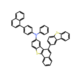 c1ccc(N(c2ccc(-c3cccc4ccccc34)cc2)c2ccc3sc4c5ccccc5cc(-c5ccc6sc7ccccc7c6c5)c4c3c2)cc1